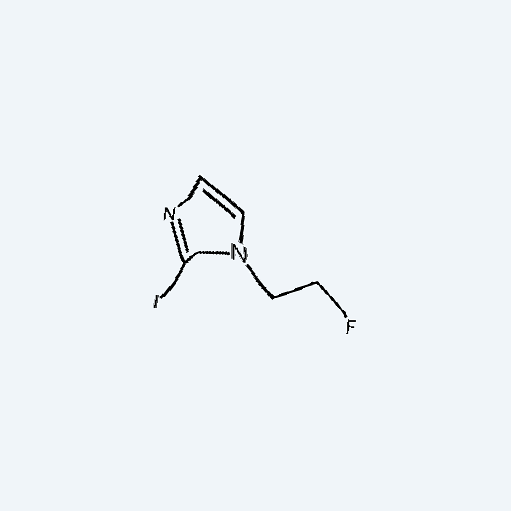 FCCn1ccnc1I